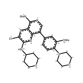 CCc1nc2c(NC)ncc(-c3ccc(N4CCOCC4)c(OC)c3)c2nc1NC1CCOCC1